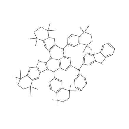 CC1(C)CCC(C)(C)C2CC3=C(C=C21)B1c2sc4cc5c(cc4c2C(c2ccc4c(c2)C(C)(C)CCC4(C)C)c2cc(N(c4ccccc4)c4ccc6c(c4)sc4ccccc46)cc(c21)N3c1ccc2c(c1)C(C)(C)CCC2(C)C)C(C)(C)CCC5(C)C